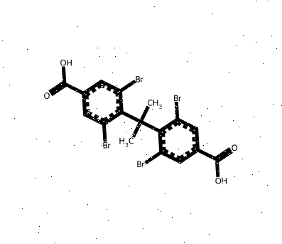 CC(C)(c1c(Br)cc(C(=O)O)cc1Br)c1c(Br)cc(C(=O)O)cc1Br